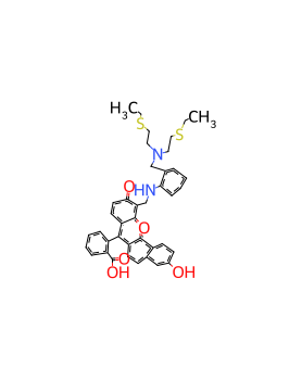 CCSCCN(CCSCC)Cc1ccccc1NCc1c2oc3c(ccc4cc(O)ccc43)c(-c3ccccc3C(=O)O)c-2ccc1=O